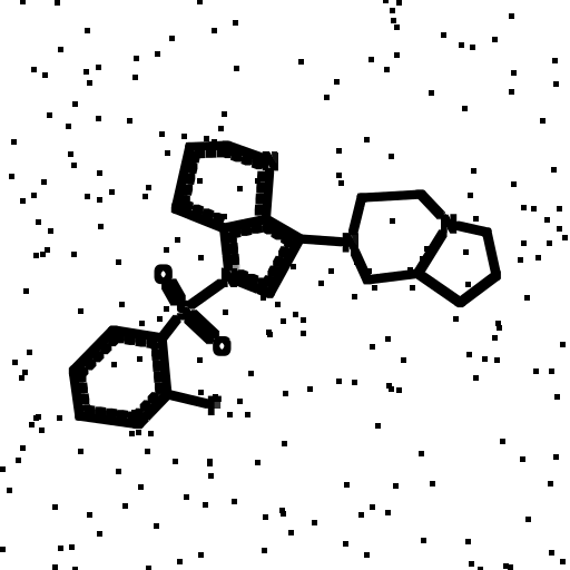 O=S(=O)(c1ccccc1F)n1cc(N2CCN3CCCC3C2)c2ncccc21